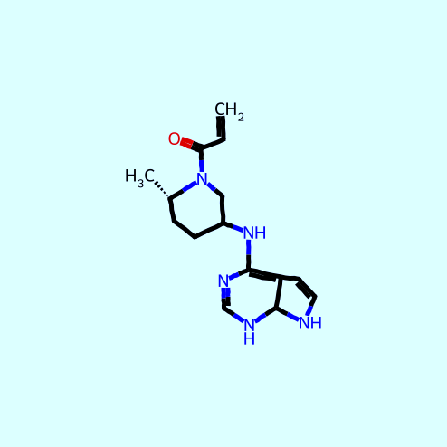 C=CC(=O)N1CC(NC2=C3C=CNC3NC=N2)CC[C@@H]1C